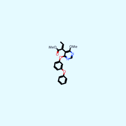 CC=C(C(=O)OC)c1c(OC)ncnc1Oc1cccc(Oc2ccccc2)c1